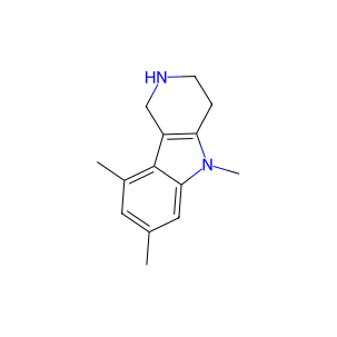 Cc1cc(C)c2c3c(n(C)c2c1)CCNC3